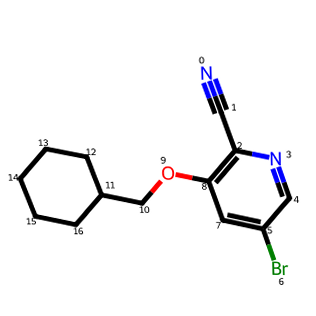 N#Cc1ncc(Br)cc1OCC1CCCCC1